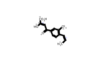 C/C=C\c1ccc(C(=O)/C=C(\O)C(=O)O)cc1C(F)(F)F